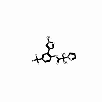 Cn1cc(-c2cc(C(F)(F)F)ccc2NC(=O)C(C)(C)n2cccn2)cn1